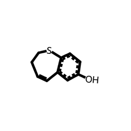 Oc1ccc2c(c1)C=CCCS2